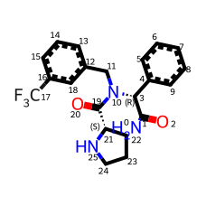 NC(=O)[C@@H](c1ccccc1)N(Cc1cccc(C(F)(F)F)c1)C(=O)[C@@H]1CCCN1